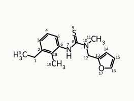 CCc1cccc(NC(=S)N(C)Cc2ccco2)c1C